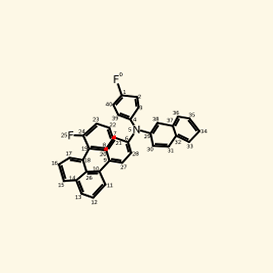 Fc1ccc(N(c2ccc(-c3cccc4cccc(-c5ccccc5F)c34)cc2)c2ccc3ccccc3c2)cc1